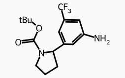 CC(C)(C)OC(=O)N1CCCC1c1cc(N)cc(C(F)(F)F)c1